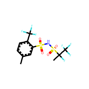 Cc1ccc(C(F)(F)F)c(S(=O)(=O)NS(=O)(=O)C(C)(F)C(F)(F)F)c1